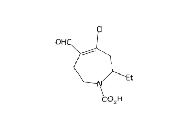 CCC1CC(Cl)=C(C=O)CCN1C(=O)O